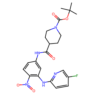 CC(C)(C)OC(=O)N1CCC(C(=O)Nc2ccc([N+](=O)[O-])c(Nc3ccc(F)cn3)c2)CC1